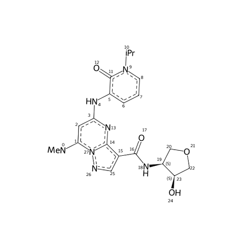 CNc1cc(Nc2cccn(C(C)C)c2=O)nc2c(C(=O)N[C@H]3COC[C@H]3O)cnn12